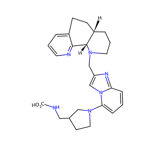 O=C(O)NCC1CCN(c2cccc3nc(CN4CCC[C@H]5CCc6cccnc6[C@H]54)cn23)C1